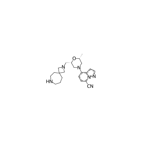 C[C@@H]1CN(c2ccc(C#N)n3nccc23)C[C@H](CN2CC3(CCCNCC3)C2)O1